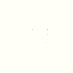 CCCCCCCC(CCC)CCCCC(O)C(O)CO